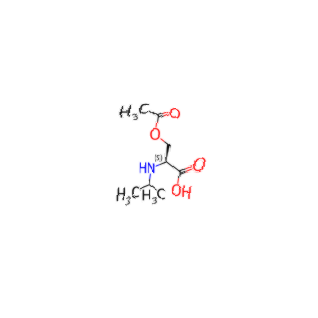 CC(=O)OC[C@H](NC(C)C)C(=O)O